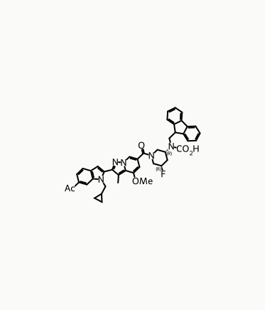 COc1cc(C(=O)N2C[C@H](F)C[C@@H](N(CC3c4ccccc4-c4ccccc43)C(=O)O)C2)cn2nc(-c3cc4ccc(C(C)=O)cc4n3CC3CC3)c(C)c12